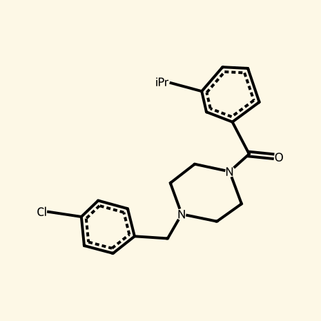 CC(C)c1cccc(C(=O)N2CCN(Cc3ccc(Cl)cc3)CC2)c1